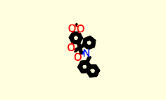 O=C1N(Cc2cccc3ccccc23)c2ccccc2C12COc1cc3c(cc12)OCO3